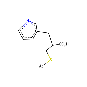 CC(=O)SCC(Cc1cccnc1)C(=O)O